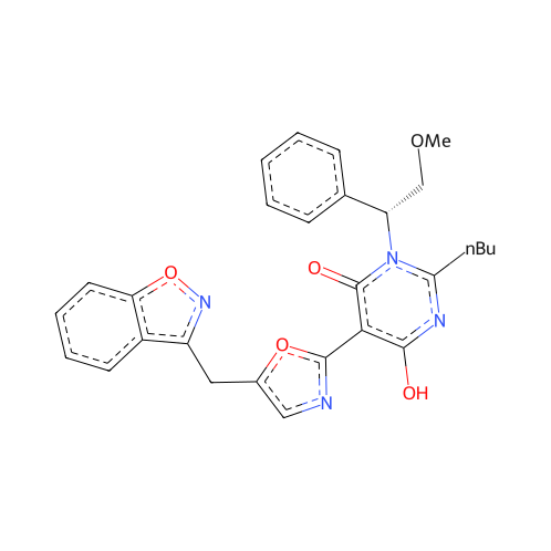 CCCCc1nc(O)c(-c2ncc(Cc3noc4ccccc34)o2)c(=O)n1[C@@H](COC)c1ccccc1